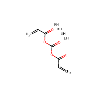 C=CC(=O)OC(=O)OC(=O)C=C.[KH].[KH].[LiH].[LiH]